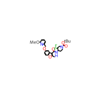 COc1cccc(COc2ccc3oc(C)c(C(=O)NC4CCN(C(=O)OC(C)(C)C)CC4(F)F)c3c2)n1